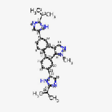 CC(C)c1ncc(-c2ccc3c(c2)c2cnn(C)c2c2cc(-c4cnc(C(C)C)[nH]4)ccc32)[nH]1